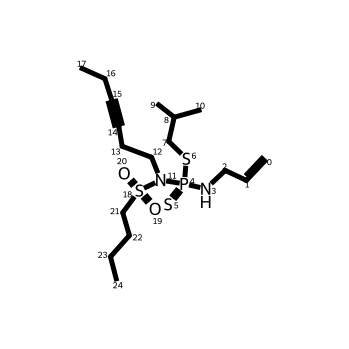 C=CCNP(=S)(SCC(C)C)N(CCC#CCC)S(=O)(=O)CCCC